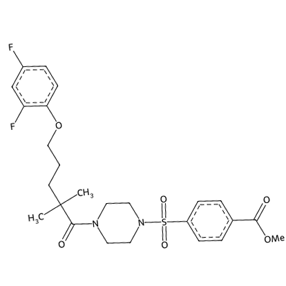 COC(=O)c1ccc(S(=O)(=O)N2CCN(C(=O)C(C)(C)CCCOc3ccc(F)cc3F)CC2)cc1